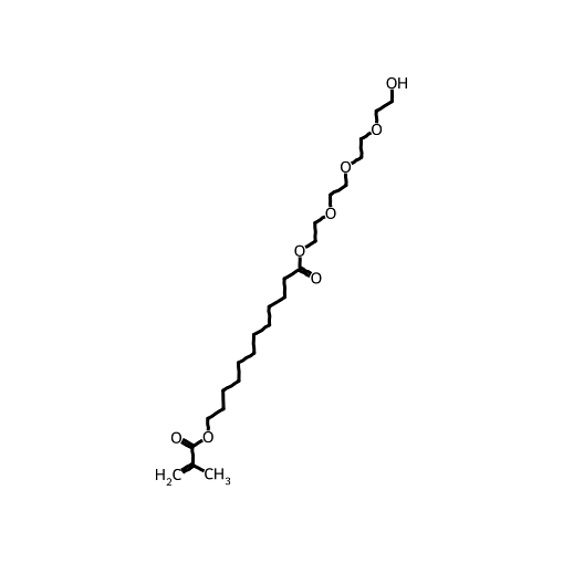 C=C(C)C(=O)OCCCCCCCCCCCC(=O)OCCOCCOCCOCCO